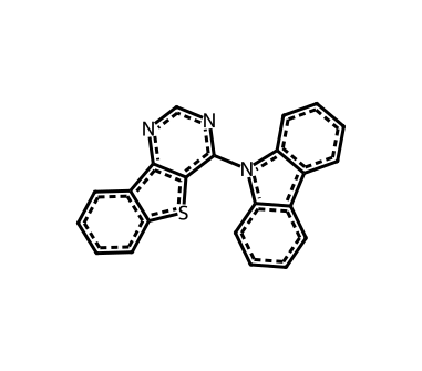 c1ccc2c(c1)sc1c(-n3c4ccccc4c4ccccc43)ncnc12